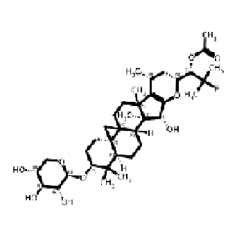 CC(=O)O[C@@H]([C@H]1C[C@@H](C)C2=C(O1)[C@H](O)[C@@]1(C)[C@@H]3CC[C@H]4C(C)(C)[C@@H](O[C@@H]5OC[C@@H](O)[C@H](O)[C@H]5O)CC[C@@]45C[C@@]35CC[C@]21C)C(C)(C)F